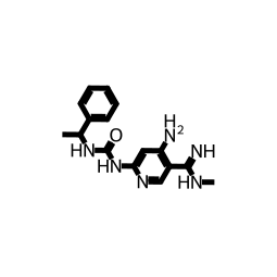 CNC(=N)c1cnc(NC(=O)NC(C)c2ccccc2)cc1N